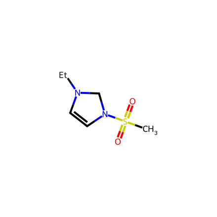 CCN1C=CN(S(C)(=O)=O)C1